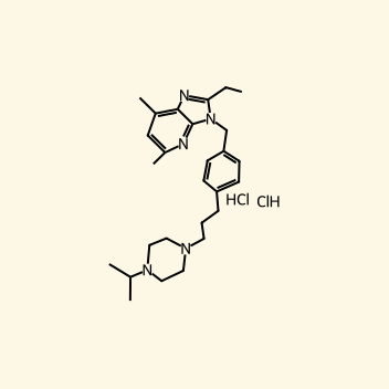 CCc1nc2c(C)cc(C)nc2n1Cc1ccc(CCCN2CCN(C(C)C)CC2)cc1.Cl.Cl